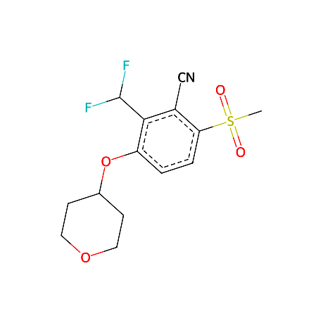 CS(=O)(=O)c1ccc(OC2CCOCC2)c(C(F)F)c1C#N